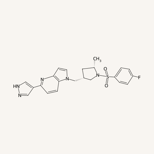 C[C@H]1C[C@@H](Cn2ccc3nc(-c4cn[nH]c4)ccc32)CN1S(=O)(=O)c1ccc(F)cc1